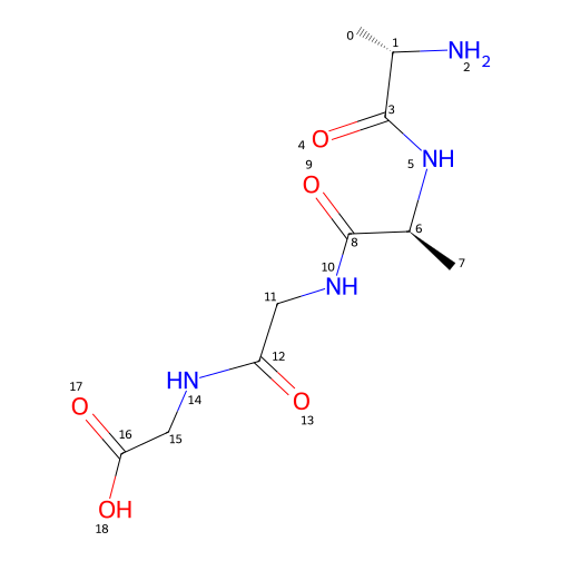 C[C@H](N)C(=O)N[C@@H](C)C(=O)NCC(=O)NCC(=O)O